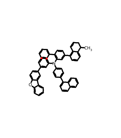 CC1CC=Cc2c(-c3ccc(-c4ccccc4)c(N(c4ccc(-c5cccc6ccccc56)cc4)c4cccc(-c5ccc6oc7ccccc7c6c5)c4)c3)cccc21